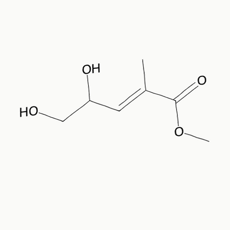 COC(=O)C(C)=CC(O)CO